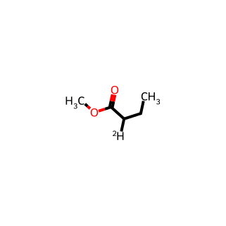 [2H]C(CC)C(=O)OC